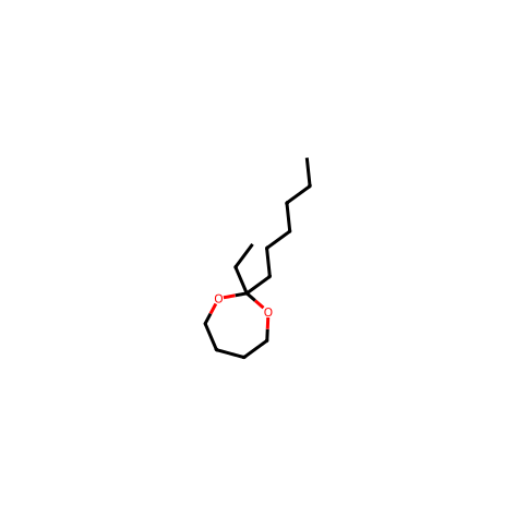 CCCCCCC1(CC)OCCCCO1